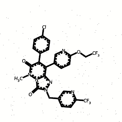 Cn1c(=O)c(-c2ccc(Cl)cc2)c(-c2ccc(OCC(F)(F)F)nc2)c2nn(Cc3ccc(C(F)(F)F)nc3)c(=O)n21